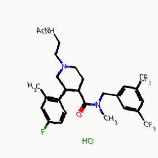 CC(=O)NCCN1CCC(C(=O)N(C)Cc2cc(C(F)(F)F)cc(C(F)(F)F)c2)C(c2ccc(F)cc2C)C1.Cl